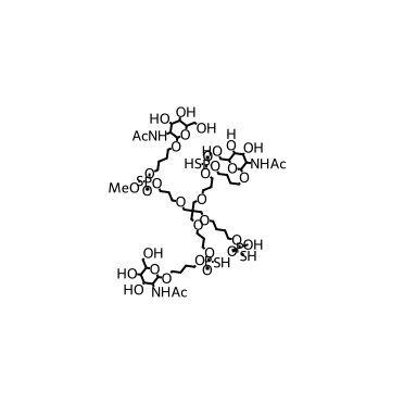 COSP(=O)(OCCCCOC1OC(CO)C(O)C(O)C1NC(C)=O)OCCCOCC(COCCCCOP(=O)(O)S)(COCCCOP(=O)(S)OCCCCOC1OC(CO)C(O)C(O)C1NC(C)=O)COCCCOP(=O)(S)OCCCCOC1OC(CO)C(O)C(O)C1NC(C)=O